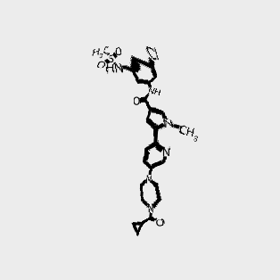 Cn1cc(C(=O)Nc2cc(Cl)cc(NS(C)(=O)=O)c2)cc1-c1ccc(N2CCN(C(=O)C3CC3)CC2)cn1